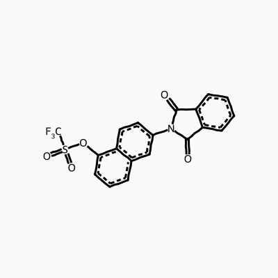 O=C1c2ccccc2C(=O)N1c1ccc2c(OS(=O)(=O)C(F)(F)F)cccc2c1